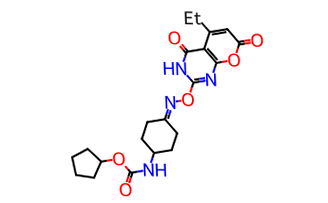 CCc1cc(=O)oc2nc(ON=C3CCC(NC(=O)OC4CCCC4)CC3)[nH]c(=O)c12